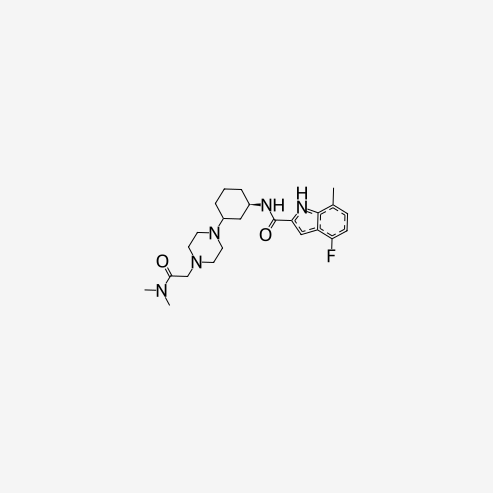 Cc1ccc(F)c2cc(C(=O)N[C@@H]3CCCC(N4CCN(CC(=O)N(C)C)CC4)C3)[nH]c12